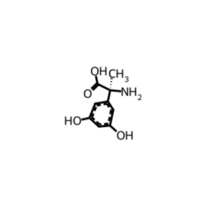 C[C@@](N)(C(=O)O)c1cc(O)cc(O)c1